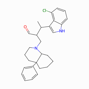 CC(c1c[nH]c2cccc(Cl)c12)C(C=O)CN1CCCC2(c3ccccc3)CCCCC12